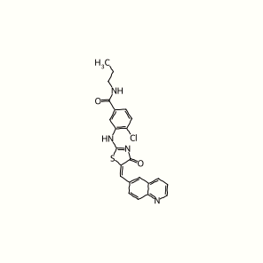 CCCNC(=O)c1ccc(Cl)c(NC2=NC(=O)C(=Cc3ccc4ncccc4c3)S2)c1